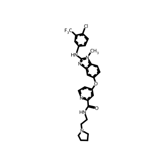 Cn1c(Nc2ccc(Cl)c(C(F)(F)F)c2)nc2cc(Oc3ccnc(C(=O)NCCN4CCCC4)c3)ccc21